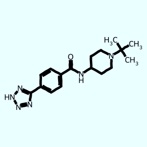 CC(C)(C)N1CCC(NC(=O)c2ccc(-c3nn[nH]n3)cc2)CC1